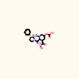 CN1CC(OC(=O)O)CC(C(=O)NO)C1C(=O)N1CC[C@H](c2ccccc2)C1